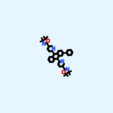 CC1(C)N=C(c2ccc(-c3c4ccccc4c(-c4ccc(C5=NC(C)(C)C(C)(C)O5)cn4)c4cc(-c5ccccc5)ccc34)nc2)OC1(C)C